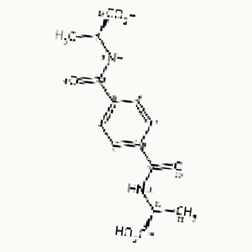 C[C@H](NC(=O)c1ccc(C(=O)N[C@@H](C)C(=O)O)cc1)C(=O)O